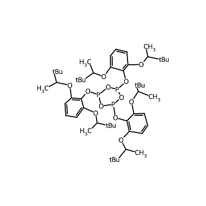 CC(Oc1cccc(OC(C)C(C)(C)C)c1OP1OP(Oc2c(OC(C)C(C)(C)C)cccc2OC(C)C(C)(C)C)OP(Oc2c(OC(C)C(C)(C)C)cccc2OC(C)C(C)(C)C)O1)C(C)(C)C